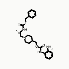 C[C@@H](CN1CCC(COC(=O)Nc2ccccc2N)CC1)NC(=O)OCc1ccccc1